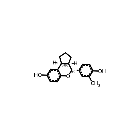 Cc1cc([C@@H]2Oc3ccc(O)cc3[C@H]3CCC[C@H]32)ccc1O